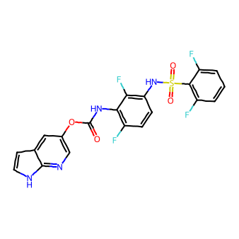 O=C(Nc1c(F)ccc(NS(=O)(=O)c2c(F)cccc2F)c1F)Oc1cnc2[nH]ccc2c1